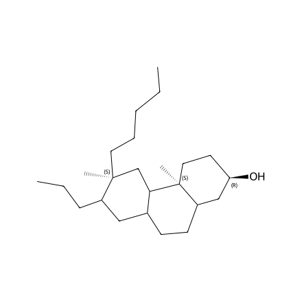 CCCCC[C@@]1(C)CC2C(CCC3C[C@H](O)CC[C@@]32C)CC1CCC